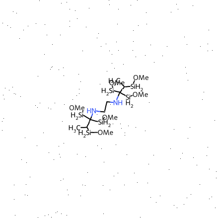 CO[SiH2]C(C)C(NCCNC([SiH2]OC)([SiH2]OC)C(C)[SiH2]OC)([SiH2]OC)[SiH2]OC